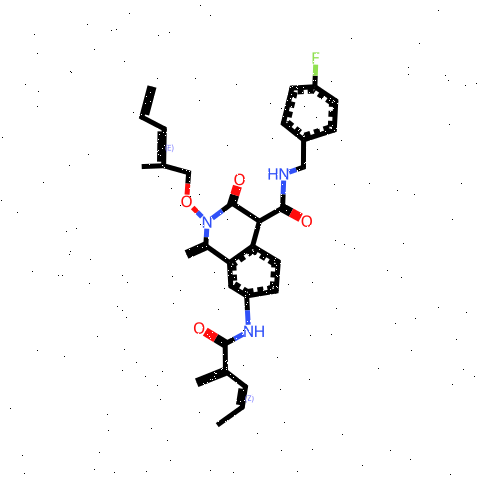 C=C/C=C(\C)CON1C(=C)c2cc(NC(=O)C(=C)/C=C\C)ccc2C(C(=O)NCc2ccc(F)cc2)C1=O